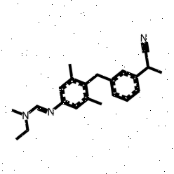 CCN(C)C=Nc1cc(C)c(Cc2cccc(C(C)C#N)c2)c(C)c1